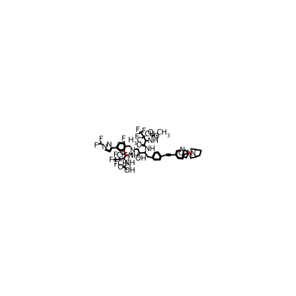 COC(=O)NC(C(=O)NC(Cc1ccc(C#Cc2ccc(N3CC4CCC(C3)N4[C@@H]3CCOC3)nc2)cc1)C(O)CN(Cc1c(F)cc(-c2ccn(C(F)F)n2)cc1F)NC(=O)C(NC(=O)O)C(C)(C)C(F)(F)F)C(C)(C)C(F)(F)F